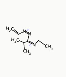 C=C/N=N\C(=N/CC)C(C)C